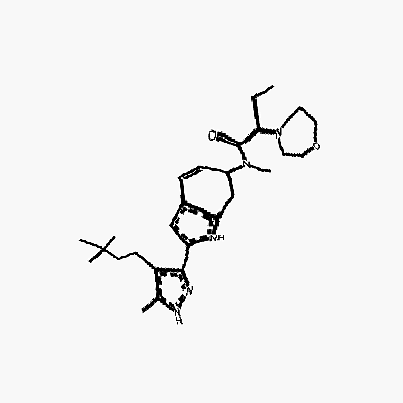 CCC(C(=O)N(C)C1C=Cc2cc(-c3n[nH]c(C)c3CCC(C)(C)C)[nH]c2C1)N1CCOCC1